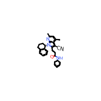 Cc1cc(C)c2c(C#N)c(C=CC(=O)Nc3ccccc3)n([C@H]3CCCc4ccccc43)c2n1